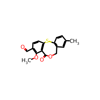 COc1c(C=O)ccc2c1C(=O)OCc1cc(C)ccc1S2